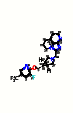 Fc1cc(C(F)(F)F)cnc1OC[C@@H]1[C@H]2CN(Cc3nc4nccc5c4n3CCC5)C[C@@H]12